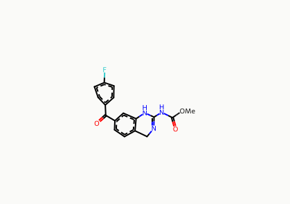 COC(=O)NC1=NCc2ccc(C(=O)c3ccc(F)cc3)cc2N1